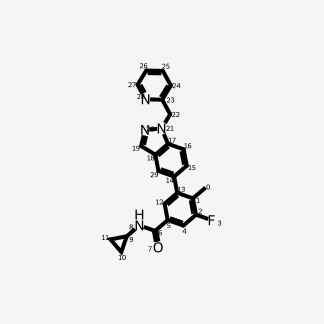 Cc1c(F)cc(C(=O)NC2CC2)cc1-c1ccc2c(cnn2Cc2ccccn2)c1